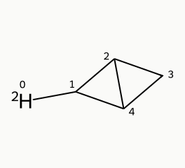 [2H]C1C2CC12